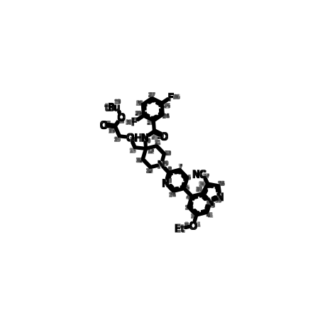 CCOc1cc(-c2ccc(N3CCC(COCC(=O)OC(C)(C)C)(NC(=O)c4cc(F)ccc4F)CC3)nc2)c2c(C#N)cnn2c1